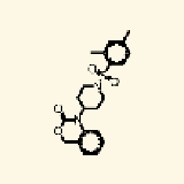 Cc1ccc(S(=O)(=O)N2CCC(N3C(=O)OCc4ccccc43)CC2)c(C)c1